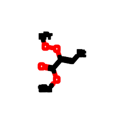 CCC=C(OOCCC)C(=O)OC(C)(C)C